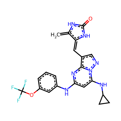 C=c1[nH]c(=O)[nH]/c1=C\c1cnn2c(NC3CC3)cc(Nc3cccc(OC(F)(F)F)c3)nc12